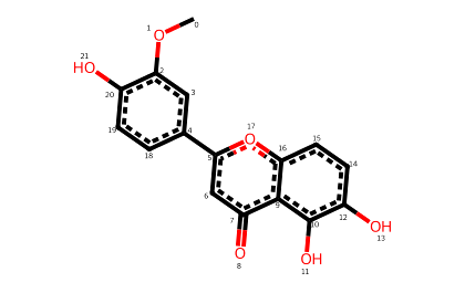 COc1cc(-c2cc(=O)c3c(O)c(O)ccc3o2)ccc1O